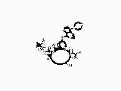 C[C@H]1CCC=C[C@@H]2C[C@@]2(C(=O)NS(=O)(=O)C2(C)CC2)NC(=O)[C@@H]2C[C@@H](Oc3nccc4c(N5CCOCC5)cccc34)CN2C(=O)[C@@H](NC(=O)O)[C@H](C)C1